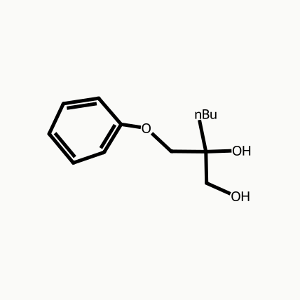 CCCCC(O)(CO)COc1ccccc1